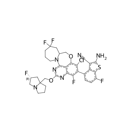 N#Cc1c(N)sc2c(F)ccc(-c3c(Cl)c4c5c(nc(OCC67CCCN6C[C@H](F)C7)nc5c3F)N3CCCC(F)(F)CC3CO4)c12